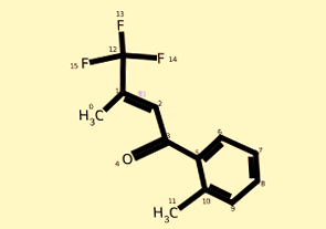 C/C(=C\C(=O)c1ccccc1C)C(F)(F)F